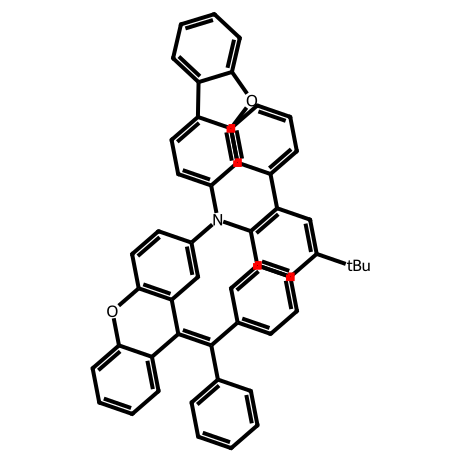 CC(C)(C)c1ccc(N(c2ccc3c(c2)C(=C(c2ccccc2)c2ccccc2)c2ccccc2O3)c2ccc3c(c2)oc2ccccc23)c(-c2ccccc2)c1